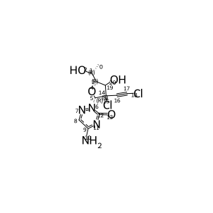 C[C@@H](O)[C@H]1O[C@@H](n2ncc(N)nc2=O)[C@@](Cl)(C#CCl)C1O